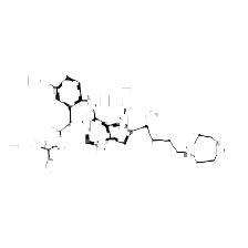 Cc1ccc(Nc2ncnc3cc(C(=O)CCCN4CCNCC4)n(C)c23)c(CCOC(C)C)c1